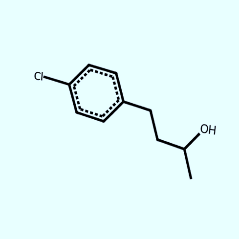 CC(O)CCc1ccc(Cl)cc1